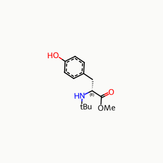 COC(=O)[C@@H](Cc1ccc(O)cc1)NC(C)(C)C